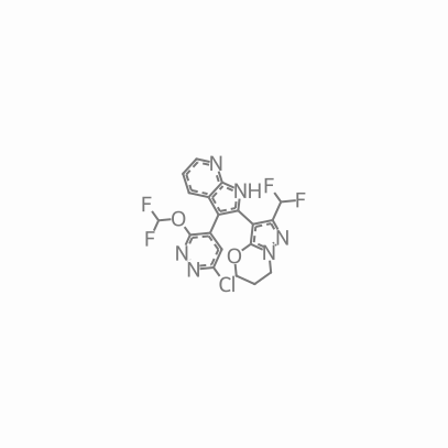 FC(F)Oc1nnc(Cl)cc1-c1c(-c2c(C(F)F)nn3c2OCCC3)[nH]c2ncccc12